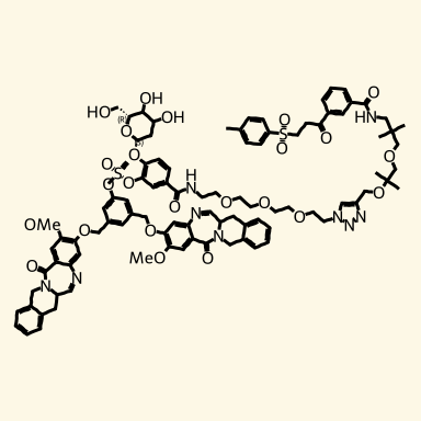 C=S(=O)(Oc1cc(COc2cc3c(cc2OC)C(=O)N2Cc4ccccc4CC2C=N3)cc(COc2cc3c(cc2OC)C(=O)N2Cc4ccccc4CC2C=N3)c1)Oc1cc(C(=O)NCCOCCOCCOCCn2cc(COC(C)(C)COCC(C)(C)CNC(=O)c3cccc(C(=O)CCS(=O)(=O)c4ccc(C)cc4)c3)nn2)ccc1O[C@H]1CC(O)C(O)[C@@H](CO)O1